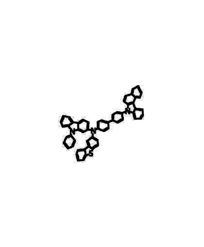 c1ccc(-n2c3ccccc3c3ccc(N(c4ccc(-c5ccc(-n6c7ccccc7c7c8ccccc8ccc76)cc5)cc4)c4ccc5sc6ccccc6c5c4)cc32)cc1